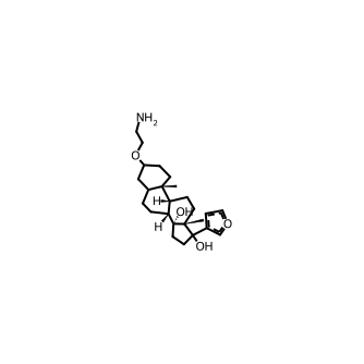 C[C@]12CCC(OCCN)CC1CC[C@@H]1[C@H]2CC[C@]2(C)C(O)(c3ccoc3)CC[C@@]12O